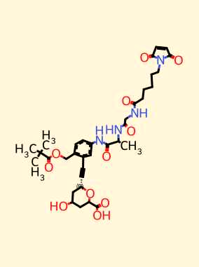 CC(NC(=O)CNC(=O)CCCCCN1C(=O)C=CC1=O)C(=O)Nc1ccc(COC(=O)C(C)(C)C)c(C#C[C@H]2CC(O)CC(C(=O)O)O2)c1